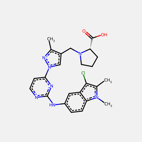 Cc1nn(-c2ccnc(Nc3ccc4c(c3)c(Cl)c(C)n4C)n2)cc1CN1CCC[C@H]1C(=O)O